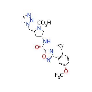 O=C(N[C@@H]1C[C@@H](Cn2ccnn2)N(C(=O)O)C1)c1nc(-c2cc(OC(F)(F)F)ccc2C2CC2)no1